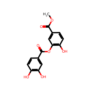 COC(=O)c1ccc(O)c(OC(=O)c2ccc(O)c(O)c2)c1